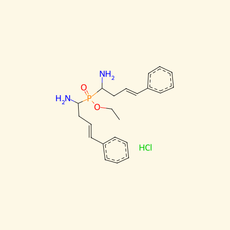 CCOP(=O)(C(N)C/C=C/c1ccccc1)C(N)C/C=C/c1ccccc1.Cl